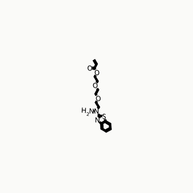 C=CC(=O)OCCOCCOCCN(N)c1nc2ccccc2s1